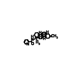 C[C@H]1CC[C@H]2[C@H](CC[C@@H]3[C@@H]2CC[C@]2(C)[C@@H](CNC(=O)c4ccccn4)CCC[C@@H]32)C1